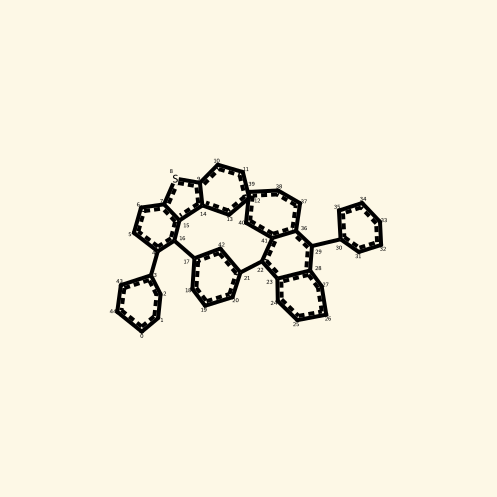 c1ccc(-c2ccc3sc4ccccc4c3c2-c2cccc(-c3c4ccccc4c(-c4ccccc4)c4ccccc34)c2)cc1